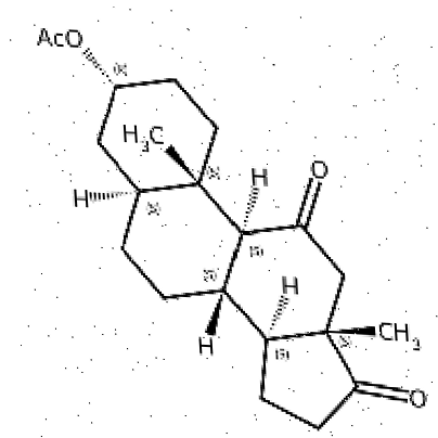 CC(=O)O[C@@H]1CC[C@@]2(C)[C@@H](CC[C@@H]3[C@@H]2C(=O)C[C@]2(C)C(=O)CC[C@@H]32)C1